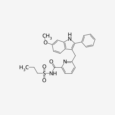 CCCS(=O)(=O)NC(=O)c1cccc(Cc2c(-c3ccccc3)[nH]c3cc(OC)ccc23)n1